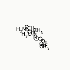 COC(Oc1ccc2c(c1)CCCN(c1cc(C)c(CC(C)(C)CC(N)=O)c(C)c1)C2)C(F)(F)F